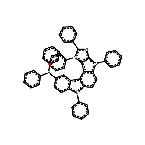 c1ccc(-c2nc3c(c4c5c6cc(N(c7ccccc7)c7ccccc7)ccc6n(-c6ccccc6)c5ccc4n3-c3ccccc3)n2-c2ccccc2)cc1